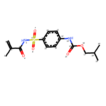 C=C(C)C(=O)NS(=O)(=O)c1ccc(NC(=O)OCC(C)C)cc1